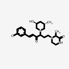 CC1C(=O)NCCN1CCC(C(=O)/C=C/c1cccc(Cl)c1)N1C[C@@H](C)C[C@H](O)C1